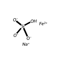 [Fe+2].[Na+].[O-][Si]([O-])([O-])O